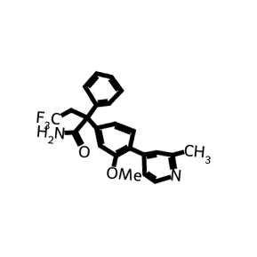 COc1cc(C(CC(F)(F)F)(C(N)=O)c2ccccc2)ccc1-c1ccnc(C)c1